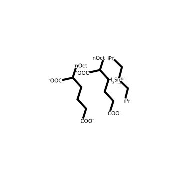 CC(C)[CH2][SnH2+4][CH2]C(C)C.CCCCCCCCC(CCCC(=O)[O-])C(=O)[O-].CCCCCCCCC(CCCC(=O)[O-])C(=O)[O-]